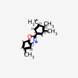 Cc1ccc2oc(-c3cc(C)c(C)c(C)c3)nc2c1